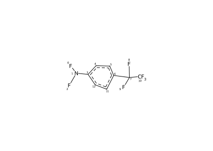 FN(F)c1ccc(C(F)(F)C(F)(F)F)cc1